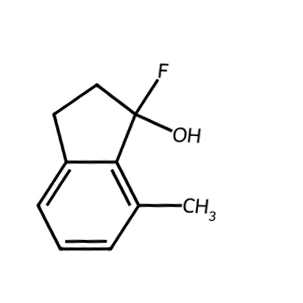 Cc1cccc2c1C(O)(F)CC2